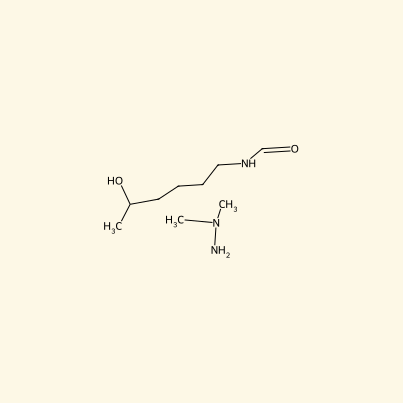 CC(O)CCCCNC=O.CN(C)N